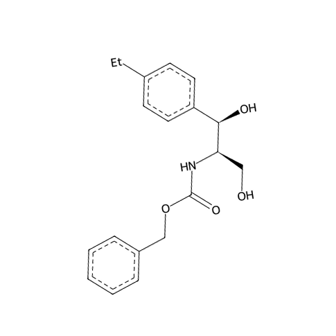 CCc1ccc([C@@H](O)[C@@H](CO)NC(=O)OCc2ccccc2)cc1